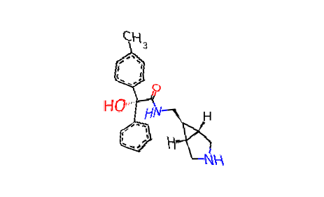 Cc1ccc([C@@](O)(C(=O)NC[C@H]2[C@@H]3CNC[C@@H]32)c2ccccc2)cc1